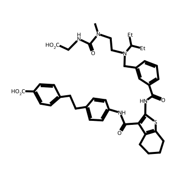 CCC(CC)N(CCN(C)C(=O)NCC(=O)O)Cc1cccc(C(=O)Nc2sc3c(c2C(=O)Nc2ccc(CCc4ccc(C(=O)O)cc4)cc2)CCCC3)c1